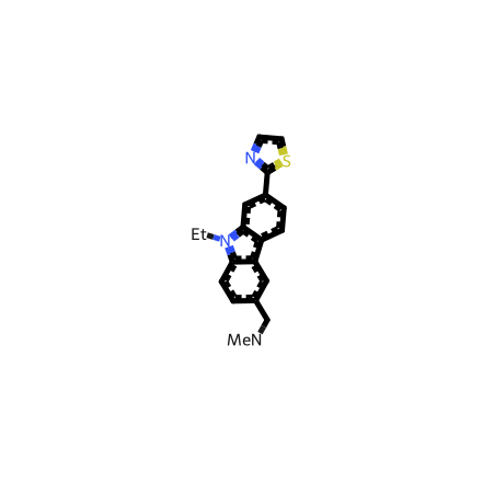 CCn1c2ccc(CNC)cc2c2ccc(-c3nccs3)cc21